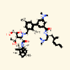 C=C/C=C\C(=C)C[C@@H](CN(C)C)NC(=O)c1cc(-c2cc(C(C)(C)C)cc(CN3O[C@@H](CO)[C@@H]([C@H](C)O)[C@H]3C(=O)N[C@H]3C[C@H]4C[C@@H]([C@@H]3C)C4(C)C)c2OC)cc(N(C)C)c1